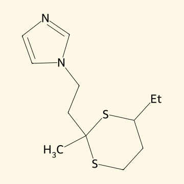 CCC1CCSC(C)(CCn2ccnc2)S1